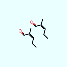 CCC=C(C)C=O.CCC=C(C)C=O